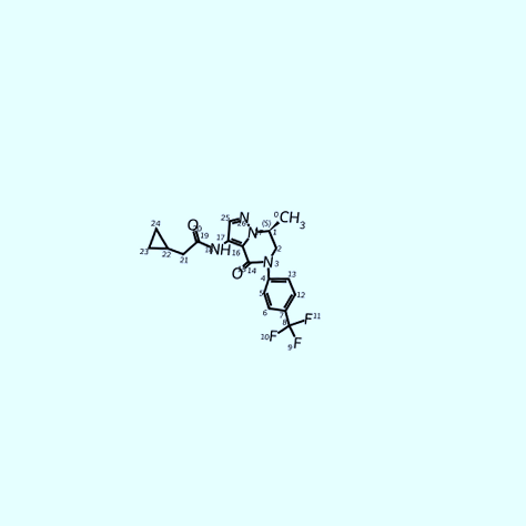 C[C@H]1CN(c2ccc(C(F)(F)F)cc2)C(=O)c2c(NC(=O)CC3CC3)cnn21